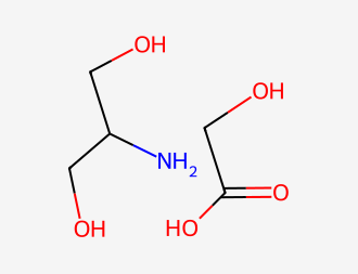 NC(CO)CO.O=C(O)CO